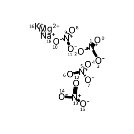 O=[N+]([O-])[O-].O=[N+]([O-])[O-].O=[N+]([O-])[O-].O=[N+]([O-])[O-].[K+].[Mg+2].[Na+]